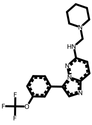 FC(F)(F)Oc1cccc(-c2cnc3ccc(NCN4CCCCC4)nn23)c1